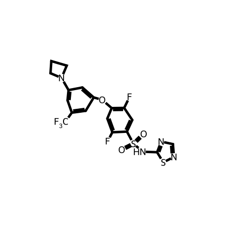 O=S(=O)(Nc1ncns1)c1cc(F)c(Oc2cc(N3CCC3)cc(C(F)(F)F)c2)cc1F